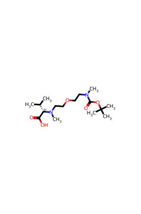 CC(C)[C@@H](C(=O)O)N(C)CCOCCN(C)C(=O)OC(C)(C)C